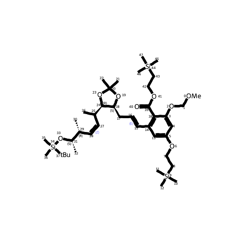 COCOc1cc(OCC[Si](C)(C)C)cc(/C=C/C[C@@H]2OC(C)(C)O[C@@H]2C(C)/C=C\[C@@H](C)[C@H](C)O[Si](C)(C)C(C)(C)C)c1C(=O)OCC[Si](C)(C)C